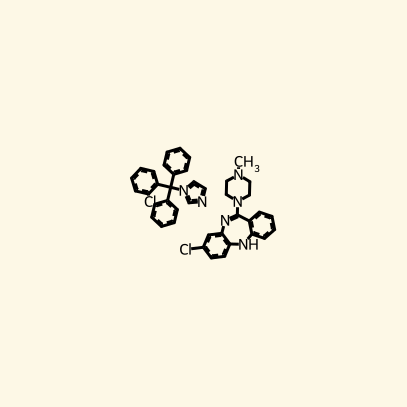 CN1CCN(C2=Nc3cc(Cl)ccc3Nc3ccccc32)CC1.Clc1ccccc1C(c1ccccc1)(c1ccccc1)n1ccnc1